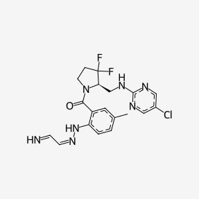 Cc1ccc(N/N=C\C=N)c(C(=O)N2CCC(F)(F)[C@H]2CNc2ncc(Cl)cn2)c1